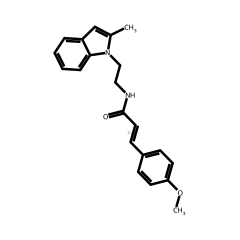 COc1ccc(/C=C/C(=O)NCCn2c(C)cc3ccccc32)cc1